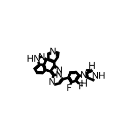 Fc1c(-c2ccnc3c(-c4cccc5[nH]ncc45)c(-c4ccncc4)nn23)ccc(N2C[C@@H]3C[C@H]2CN3)c1F